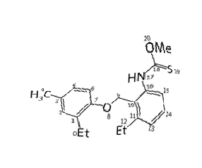 CCc1cc(C)ccc1OCc1c(CC)cccc1NC(=S)OC